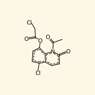 CC(=O)n1c(=O)ccc2c(Cl)ccc(OC(=O)CCl)c21